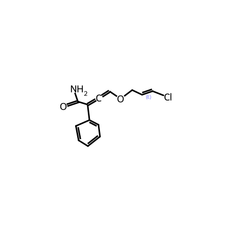 NC(=O)C(=C=COC/C=C/Cl)c1ccccc1